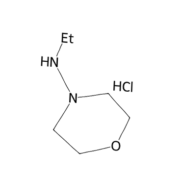 CCNN1CCOCC1.Cl